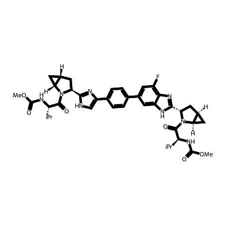 COC(=O)N[C@H](C(=O)N1[C@@H]2C[C@@H]2C[C@H]1c1nc(-c2ccc(-c3cc(F)c4nc([C@@H]5C[C@H]6C[C@H]6N5C(=O)[C@@H](NC(=O)OC)C(C)C)[nH]c4c3)cc2)c[nH]1)C(C)C